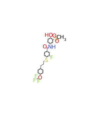 CS(=O)(=O)c1cc(NC(=O)c2ccc(SCCCc3ccc(OC(F)(F)F)cc3)c(F)c2)ccc1O